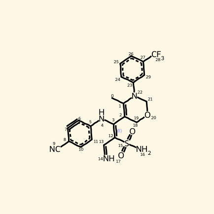 CC1=C(/C(Nc2c#cc(C#N)cc2)=C(/C=N)S(N)(=O)=O)COCN1c1cccc(C(F)(F)F)c1